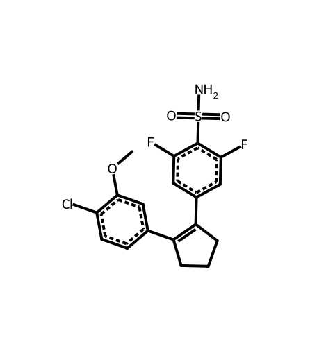 COc1cc(C2=C(c3cc(F)c(S(N)(=O)=O)c(F)c3)CCC2)ccc1Cl